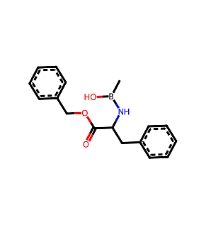 CB(O)NC(Cc1ccccc1)C(=O)OCc1ccccc1